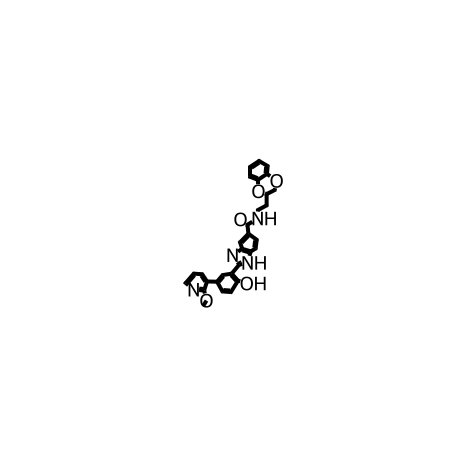 COc1ncccc1-c1ccc(O)c(-c2nc3cc(C(=O)NCCC4COc5ccccc5O4)ccc3[nH]2)c1